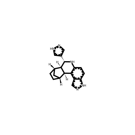 c1n[nH]cc1[C@@H]1Nc2ccc3[nH]ncc3c2[C@H]2[C@@H]3CC[C@@H](C3)[C@H]21